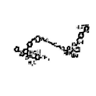 Cc1cc(C)c(CNC(=O)c2cc(-c3ccc(CN4CCN(CCOCCCOCCCOCC(=O)NC(C(=O)N5CCC[C@H]5C(=O)NCc5ccc(-c6scnc6C)cc5)C(C)(C)C)CC4)cc3)cc3c2ccn3C2CCCC2)c(=O)[nH]1